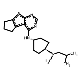 CC(C)CN(C)[C@H]1CC[C@H](Nc2ncnc3sc4c(c23)CCC4)CC1